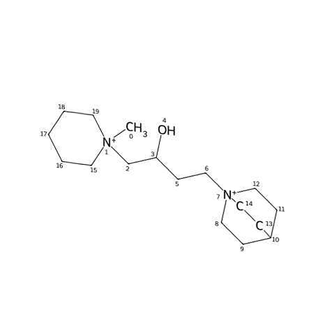 C[N+]1(CC(O)CC[N+]23CCC(CC2)CC3)CCCCC1